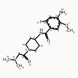 COc1cc(C(=O)NC2CCN(C(=O)CN(C)C)CC2)c(F)cc1N